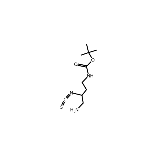 CC(C)(C)OC(=O)NCCC(CN)N=C=S